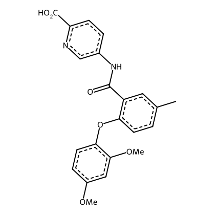 COc1ccc(Oc2ccc(C)cc2C(=O)Nc2ccc(C(=O)O)nc2)c(OC)c1